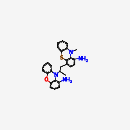 CC(Cc1ccc(N)c2c1Sc1ccccc1N2C)N1c2ccccc2Oc2cccc(N)c21